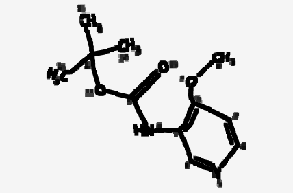 COc1ccncc1NC(=O)OC(C)(C)C